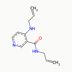 C=CCNC(=O)c1[c]nccc1NCC=C